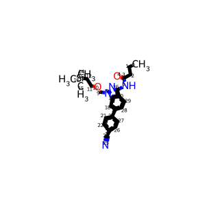 CCCC(=O)Nc1nn(COCC[Si](C)(C)C)c2cc(-c3ccc(C#N)cc3)ccc12